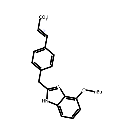 CCCCOc1cccc2[nH]c(Cc3ccc(/C=C/C(=O)O)cc3)nc12